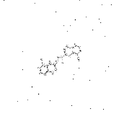 O=C(Oc1c(Cl)cccc1Cl)C1=CC(C(=O)Oc2c(Cl)cccc2Cl)C1